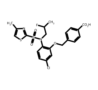 Cc1csc(S(=O)(=O)N(CC(C)F)c2ccc(Cl)cc2OCc2ccc(C(=O)O)cc2)n1